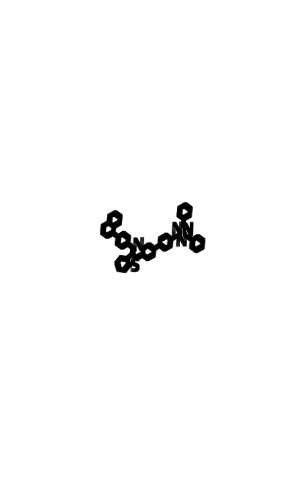 c1ccc(-c2nc(-c3ccccc3)nc(-c3ccc(-c4ccc5c(c4)nc(-c4ccc(-c6cccc7ccccc67)cc4)c4c6ccccc6sc54)cc3)n2)cc1